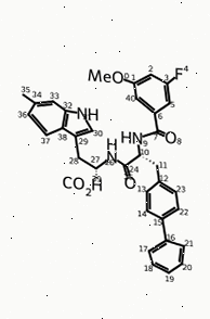 COc1cc(F)cc(C(=O)N[C@H](Cc2ccc(-c3ccccc3)cc2)C(=O)N[C@@H](Cc2c[nH]c3cc(C)ccc23)C(=O)O)c1